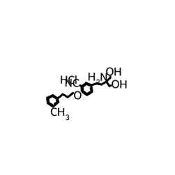 Cc1cccc(CCCOc2ccc(CCC(N)(CO)CO)cc2C#N)c1.Cl